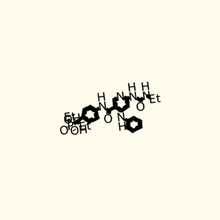 CCNC(=O)Nc1cc(Nc2ccccc2)c(C(=O)Nc2ccc(C(CC)(CC)P(=O)(O)O)cc2)cn1